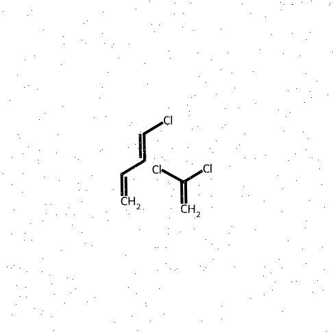 C=C(Cl)Cl.C=CC=CCl